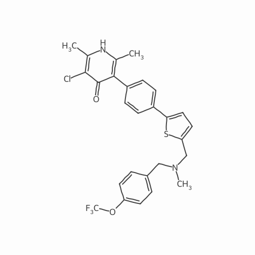 Cc1[nH]c(C)c(-c2ccc(-c3ccc(CN(C)Cc4ccc(OC(F)(F)F)cc4)s3)cc2)c(=O)c1Cl